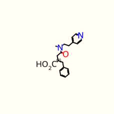 CN(CCc1ccncc1)C(=O)C[C@@H](Cc1ccccc1)C(=O)O